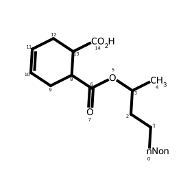 CCCCCCCCCCCC(C)OC(=O)C1CC=CCC1C(=O)O